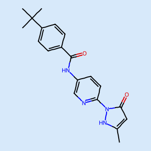 Cc1cc(=O)n(-c2ccc(NC(=O)c3ccc(C(C)(C)C)cc3)cn2)[nH]1